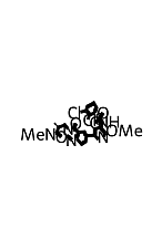 CNC(=O)[C@@H](C)Cn1cnc2ccc(-c3cnc(OC)c(NS(=O)(=O)c4cccc(Cl)c4Cl)c3)cc2c1=O